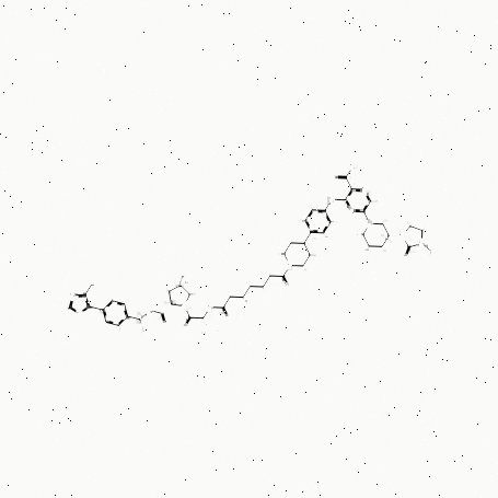 Cc1ncsc1-c1ccc([C@H](C)NC(=O)[C@@H]2C[C@@H](O)CN2C(=O)[C@@H](NC(=O)CCCCCC(=O)N2CCC(c3ccc(Nc4nc(N5CCC[C@@H](N6CCN(C)C6=O)C5)cnc4C(N)=O)cc3)CC2)C(C)(C)C)cc1